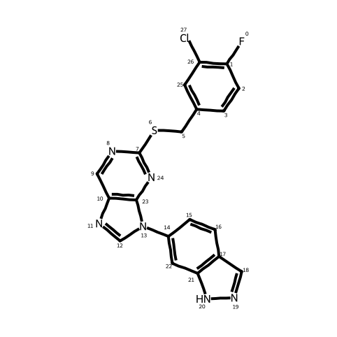 Fc1ccc(CSc2ncc3ncn(-c4ccc5cn[nH]c5c4)c3n2)cc1Cl